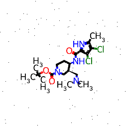 Cc1[nH]c(C(=O)N[C@@H]2CCN(C(=O)OC(C)(C)C)C[C@@H]2CN(C)C)c(Cl)c1Cl